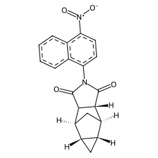 O=C1C2[C@H]3C[C@H]([C@@H]4C[C@@H]43)[C@H]2C(=O)N1c1ccc([N+](=O)[O-])c2ccccc12